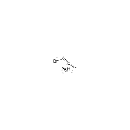 C=C=CBr.[MgH2]